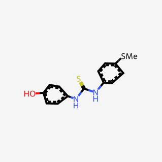 CSc1ccc(NC(=S)Nc2ccc(O)cc2)cc1